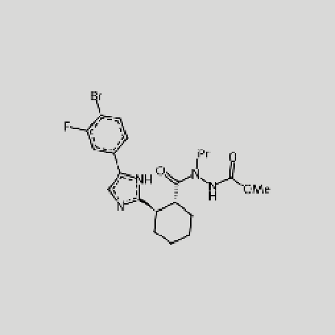 COC(=O)NN(C(=O)[C@@H]1CCCC[C@H]1c1ncc(-c2ccc(Br)c(F)c2)[nH]1)C(C)C